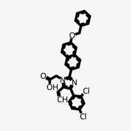 C=Cc1c(-c2ccc(Cl)cc2Cl)nc(-c2ccc3cc(OCc4ccccc4)ccc3c2)n1CC(=O)O